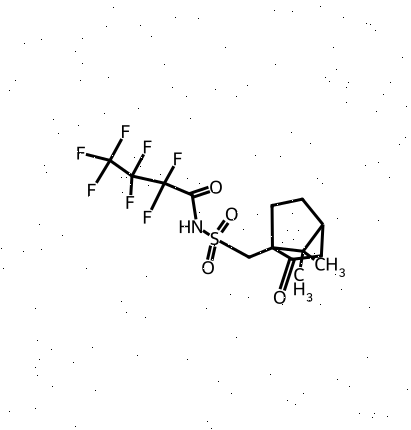 CC1(C)C2CCC1(CS(=O)(=O)NC(=O)C(F)(F)C(F)(F)C(F)(F)F)C(=O)C2